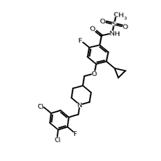 CS(=O)(=O)NC(=O)c1cc(C2CC2)c(OCC2CCN(Cc3cc(Cl)cc(Cl)c3F)CC2)cc1F